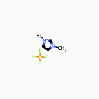 CC[n+]1ccn(C)c1.F[P-](F)(F)F